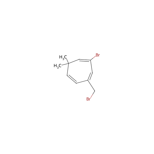 CC1(C)C=CC(CBr)=CC(Br)=C1